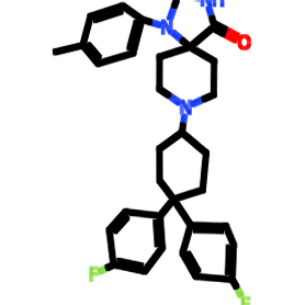 Cc1ccc(N2CNC(=O)C23CCN(C2CCC(c4ccc(F)cc4)(c4ccc(F)cc4)CC2)CC3)cc1